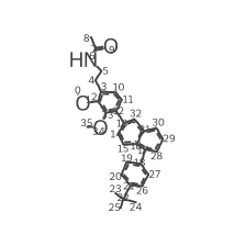 COc1c(CCNC(C)=O)ccc(-c2ccc3c(-c4ccc(C(C)(C)C)cc4)cccc3c2)c1OC